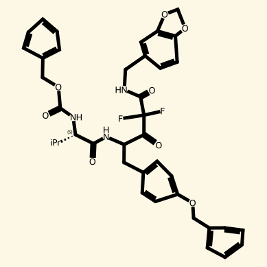 CC(C)[C@H](NC(=O)OCc1ccccc1)C(=O)NC(Cc1ccc(OCc2ccccc2)cc1)C(=O)C(F)(F)C(=O)NCc1ccc2c(c1)OCO2